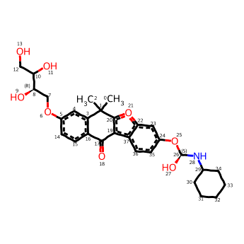 CC1(C)c2cc(OC[C@@H](O)C(O)CO)ccc2C(=O)c2c1oc1cc(O[C@H](O)NC3CCCCC3)ccc21